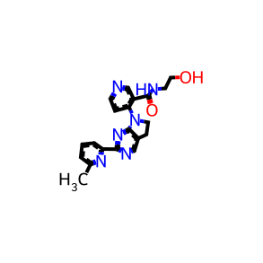 Cc1cccc(-c2ncc3c(n2)N(c2ccncc2C(=O)NCCO)CC3)n1